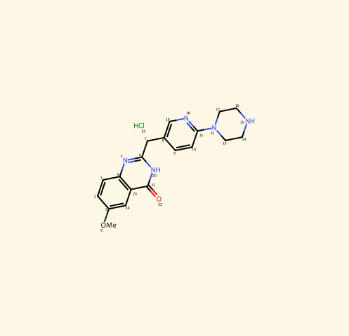 COc1ccc2nc(Cc3ccc(N4CCNCC4)nc3)[nH]c(=O)c2c1.Cl